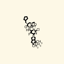 CN1CC2CN(c3nc(Cl)nc(NNC(=O)[C@@H](CC4CCCC4)CN(O)C=O)c3F)CC2C1(C)C